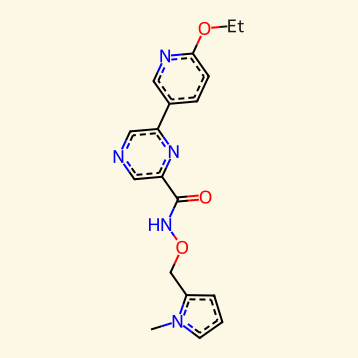 CCOc1ccc(-c2cncc(C(=O)NOCc3cccn3C)n2)cn1